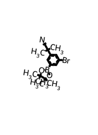 CC(C)(C#N)c1cc(Br)cc(B2OC(C)(C)C(C)(C)O2)c1